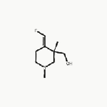 CN1CC/C(=C\F)[C@](C)(CO)C1